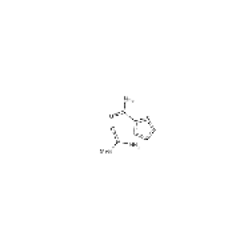 CNC(N)=O.NC(=O)c1cccs1